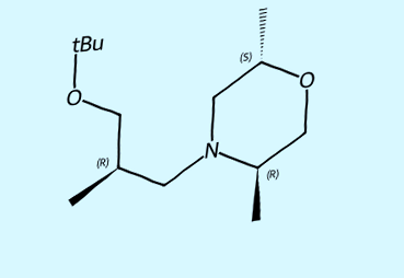 C[C@@H](COC(C)(C)C)CN1C[C@H](C)OC[C@H]1C